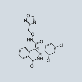 O=C1N[C@@H](C2C=CC(Cl)=CC2Cl)[C@H](C(=O)NOCc2ncon2)c2ccccc21